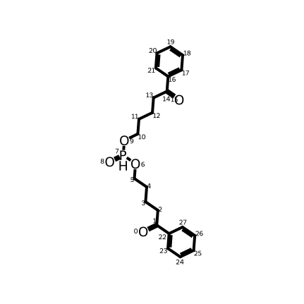 O=C(CCCCO[PH](=O)OCCCCC(=O)c1ccccc1)c1ccccc1